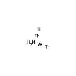 N.[Tl].[Tl].[Tl].[W]